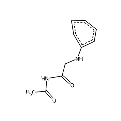 CC(=O)NC(=O)CNc1ccccc1